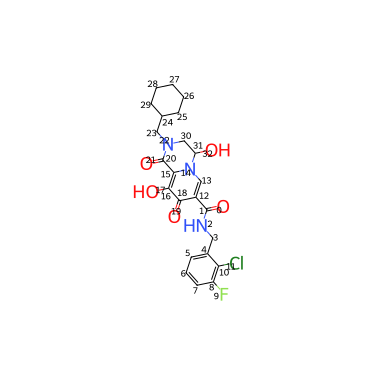 O=C(NCc1cccc(F)c1Cl)c1cn2c(c(O)c1=O)C(=O)N(CC1CCCCC1)CC2O